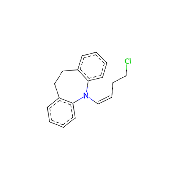 ClCC/C=C\N1c2ccccc2CCc2ccccc21